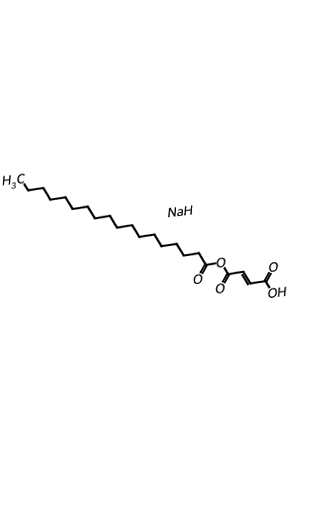 CCCCCCCCCCCCCCCCCC(=O)OC(=O)/C=C/C(=O)O.[NaH]